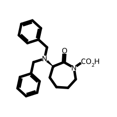 O=C(O)N1CCCC[C@@H](N(Cc2ccccc2)Cc2ccccc2)C1=O